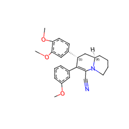 COc1cccc(C2=C(C#N)N3CCCC[C@@H]3C[C@H]2c2ccc(OC)c(OC)c2)c1